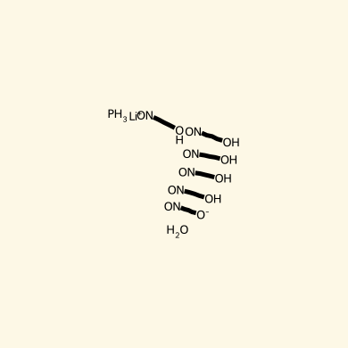 O.O=NO.O=NO.O=NO.O=NO.O=NO.O=N[O-].P.[Li+]